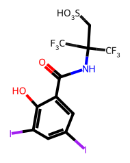 O=C(NC(CS(=O)(=O)O)(C(F)(F)F)C(F)(F)F)c1cc(I)cc(I)c1O